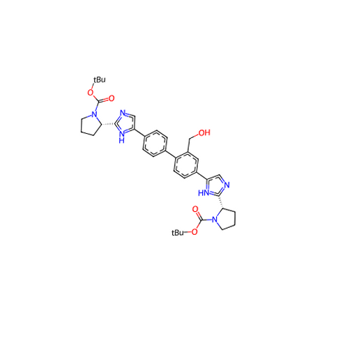 CC(C)(C)OC(=O)N1CCC[C@H]1c1ncc(-c2ccc(-c3ccc(-c4cnc([C@@H]5CCCN5C(=O)OC(C)(C)C)[nH]4)cc3CO)cc2)[nH]1